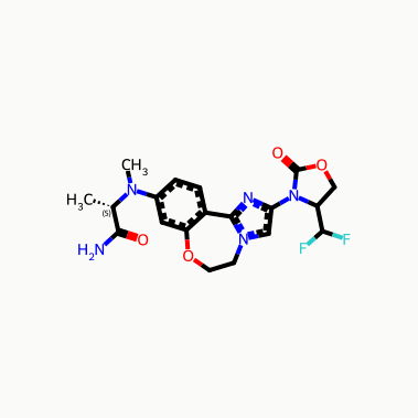 C[C@@H](C(N)=O)N(C)c1ccc2c(c1)OCCn1cc(N3C(=O)OCC3C(F)F)nc1-2